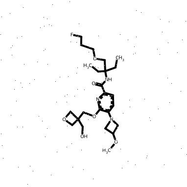 CCC(CC)(COCCCF)NC(=O)c1ccc(N2CC(OC)C2)c(OCC2(CO)COC2)n1